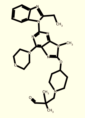 CCc1nc2ccccc2n1-c1nc(N2CCOCC2)c2nc(OC3CCN(CC(C)(C)C=O)CC3)n(C)c2n1